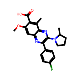 COc1cc2nc(-c3ccc(F)cc3)c(N3CCCC3C)nc2c(C)c1C(=O)O